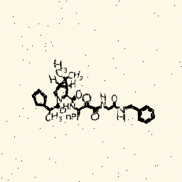 CCCC(NC(=O)[C@@H]1[C@@H]2[C@H](CN1C(=O)[C@@H](C)C1CCCC1)C2(C)C)C(=O)C(=O)NCC(=O)NCc1ccccc1